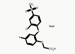 CS(=O)(=O)c1ccc(Sc2cc(F)ccc2OCC(=O)O)c(Cl)c1.[NaH]